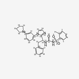 Cc1ccccc1S(=O)(=O)NC(=O)NC(Cc1ccccc1)c1nccn1-c1cccc(N2CCCC2)c1